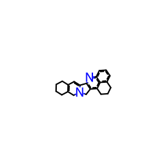 C1=C2c3nc4cccc5c4c(c3CN2CC2=C1CCCC2)CCC5